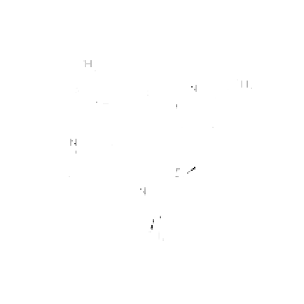 CC(=O)Nc1nc(F)c(CN2C[C@@H](Oc3cc(C)nc(C)c3)C[C@H]2C)s1